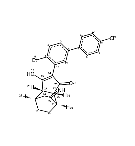 CCc1ccc(-c2ccc(Cl)cc2)cc1C1=C(O)[C@H]2[C@@H]3CC[C@@H](C(=N)C3)[C@H]2C1=O